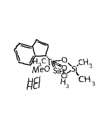 C[O][Ti]([CH3])(=[O])(=[SiH2])([O][Si](C)(C)C)[CH]1C=Cc2ccccc21.Cl.Cl